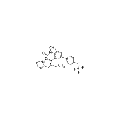 CCN(Cc1ccccn1)C(=O)c1cc(-c2ccc(OC(F)(F)F)cc2)ccc1N(C)C=O